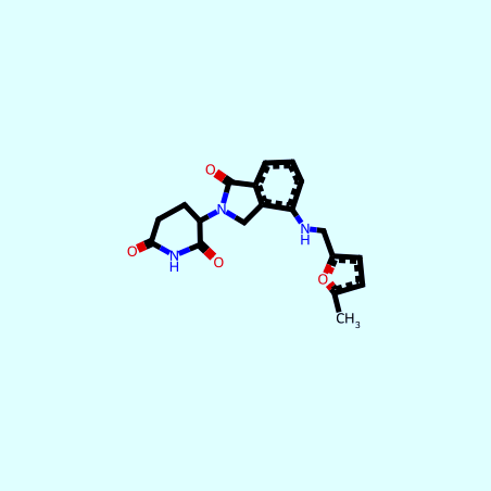 Cc1ccc(CNc2cccc3c2CN(C2CCC(=O)NC2=O)C3=O)o1